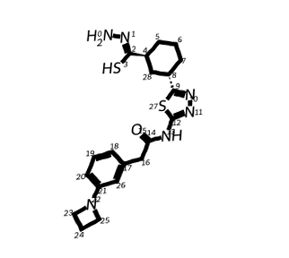 N/N=C(\S)[C@H]1CCC[C@H](c2nnc(NC(=O)Cc3cccc(N4CCC4)c3)s2)C1